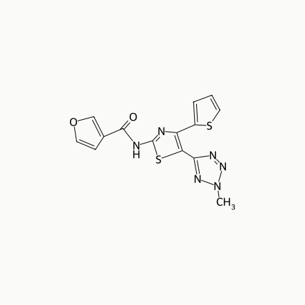 Cn1nnc(-c2sc(NC(=O)c3ccoc3)nc2-c2cccs2)n1